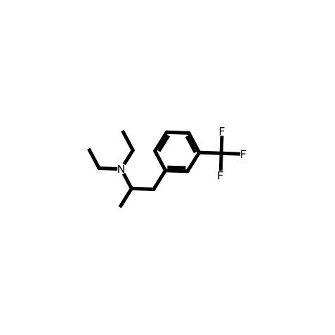 CCN(CC)C(C)Cc1cccc(C(F)(F)F)c1